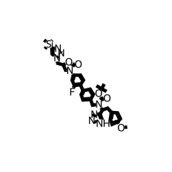 COc1ccc(CC(c2c[nH]nn2)N(Cc2ccc(-c3ccc(N4CC(Cn5cc([Si](C)(C)C)nn5)OC4=O)cc3F)cc2)C(=O)OC(C)(C)C)cc1